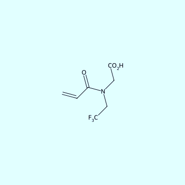 C=CC(=O)N(CC(=O)O)CC(F)(F)F